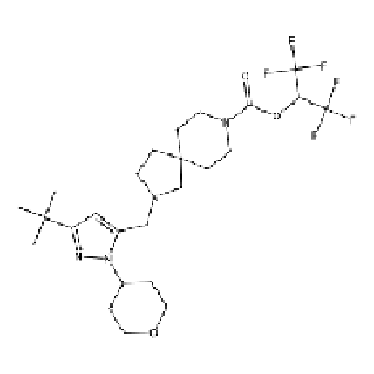 CC(C)(C)c1cc(CN2CCC3(CCN(C(=O)OC(C(F)(F)F)C(F)(F)F)CC3)C2)n(C2CCOCC2)n1